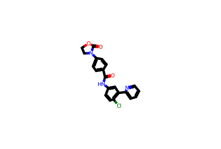 O=C(Nc1ccc(Cl)c(-c2ccccn2)c1)c1ccc(N2CCOC2=O)cc1